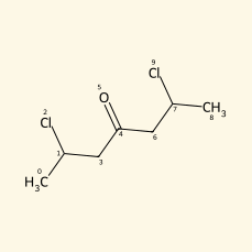 CC(Cl)CC(=O)CC(C)Cl